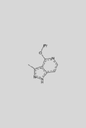 Cc1n[nH]c2ccnc(OC(C)C)c12